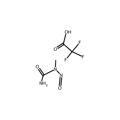 CN(N=O)C(N)=O.O=C(O)C(F)(F)F